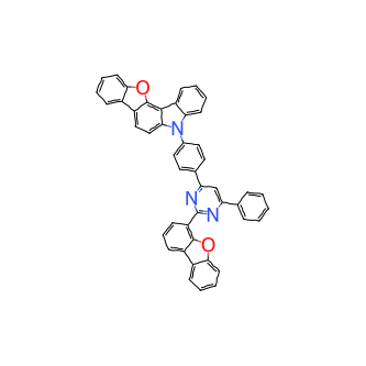 c1ccc(-c2cc(-c3ccc(-n4c5ccccc5c5c6oc7ccccc7c6ccc54)cc3)nc(-c3cccc4c3oc3ccccc34)n2)cc1